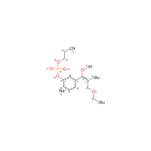 CC(C)OC(=C(COCC(C)(C)C)C(C)(C)C)c1cccc(OP(=O)([O-])OCCC#N)c1.[Na+]